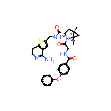 C[C@@]12C[C@@H]1N(C(=O)CNC(=O)c1ccc(Oc3ccccc3)cc1)[C@H](C(=O)NCc1cc3c(s1)CCN=C3N)C2